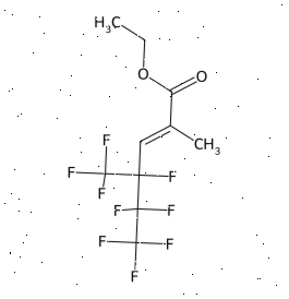 CCOC(=O)C(C)=CC(F)(C(F)(F)F)C(F)(F)C(F)(F)F